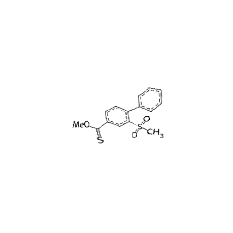 COC(=S)c1ccc(-c2ccccc2)c(S(C)(=O)=O)c1